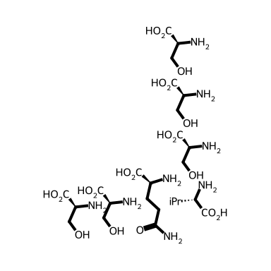 CC(C)[C@H](N)C(=O)O.NC(=O)CC[C@H](N)C(=O)O.N[C@@H](CO)C(=O)O.N[C@@H](CO)C(=O)O.N[C@@H](CO)C(=O)O.N[C@@H](CO)C(=O)O.N[C@@H](CO)C(=O)O